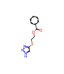 O=C(OCCSc1c[nH]nn1)c1ccccc1